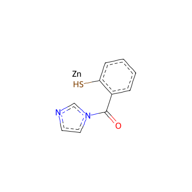 O=C(c1ccccc1S)n1ccnc1.[Zn]